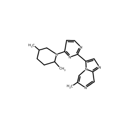 Cc1cn2c(-c3nccc(N4CC(C)CCC4C)n3)cnc2cn1